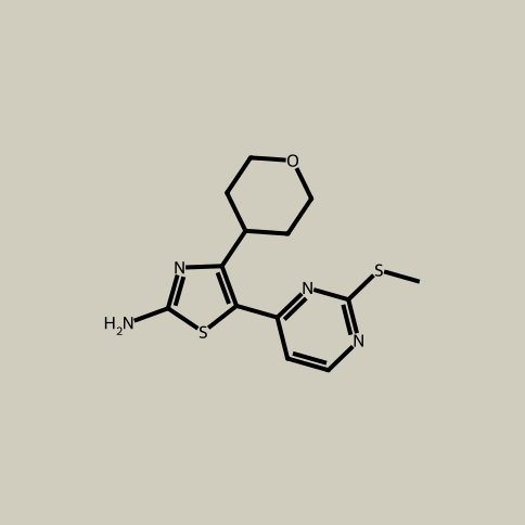 CSc1nccc(-c2sc(N)nc2C2CCOCC2)n1